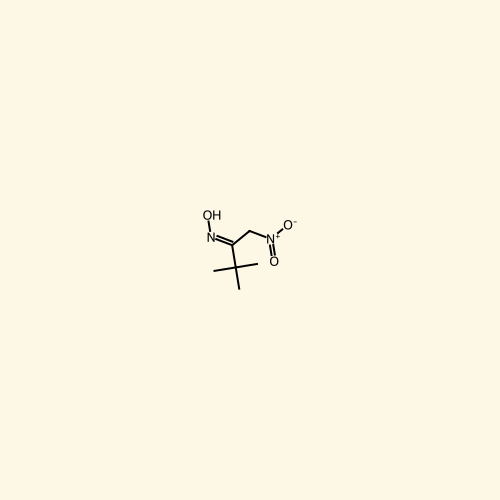 CC(C)(C)/C(C[N+](=O)[O-])=N/O